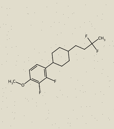 COc1ccc(C2CCC(CCC(C)(F)F)CC2)c(F)c1F